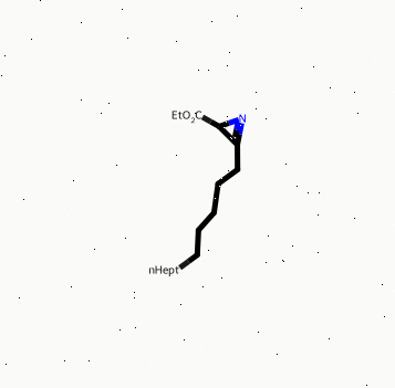 CCCCCCCCCCCCC1=NC1C(=O)OCC